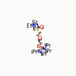 CC[N+](CC)(CC)CC(=O)SCCOCCOP(N(C(C)C)C(C)C)N(C(C)C)C(C)C